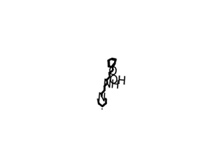 OC(CNCCCN1CC[CH]CC1)COc1ccccc1